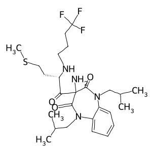 CSCC[C@H](NCCCC(F)(F)F)C(=O)C1(N)C(=O)N(CC(C)C)c2ccccc2N(CC(C)C)C1=O